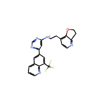 FC(F)(F)c1cc(-c2cc(NCCc3ccnc4c3OCC4)ncn2)cc2cccnc12